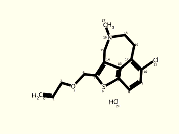 C=CCOCc1sc2ccc(Cl)c3c2c1CN(C)CC3.Cl